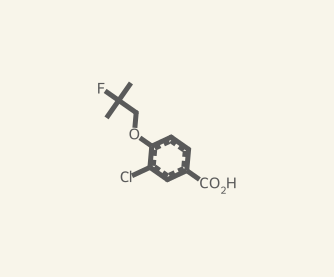 CC(C)(F)COc1ccc(C(=O)O)cc1Cl